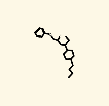 CCCCC1CCC(C(CC)CC(F)COc2ccccc2)CC1